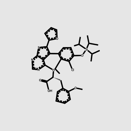 CCc1c(-c2c(-c3ccco3)sc3ncnc(O[C@H](Cc4ccccc4OC)C(=O)O)c23)ccc(O[Si](C(C)C)(C(C)C)C(C)C)c1Cl